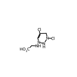 O=C(O)CNN1C=C(Cl)CN(Cl)N1